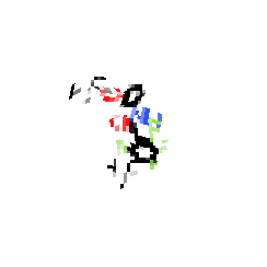 COc1cccc(NC(=O)c2c(F)c(C)c(F)c(F)c2F)c1